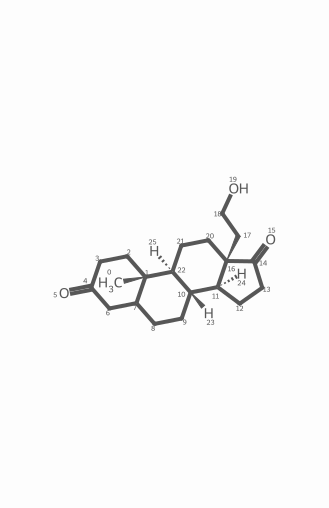 C[C@]12CCC(=O)CC1CC[C@H]1[C@@H]3CCC(=O)[C@@]3(CCO)CC[C@@H]12